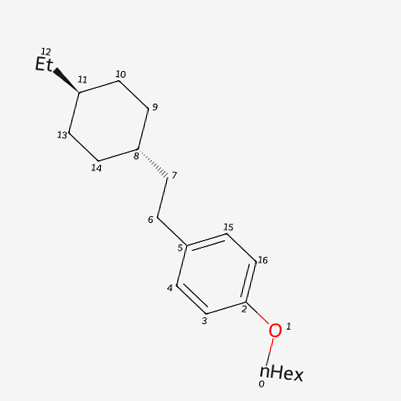 CCCCCCOc1ccc(CC[C@H]2CC[C@H](CC)CC2)cc1